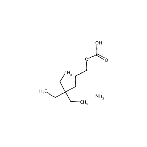 CCC(CC)(CC)CCCOC(=O)O.N